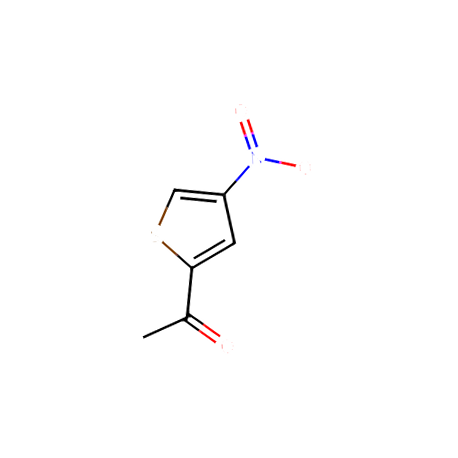 CC(=O)c1cc([N+](=O)[O-])cs1